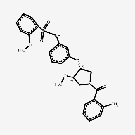 COc1ccccc1S(=O)(=O)Nc1cccc(O[C@@H]2CN(C(=O)c3ccccc3C)C[C@H]2OC)c1